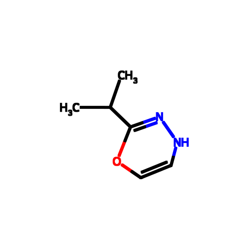 CC(C)C1=NNC=CO1